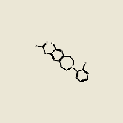 CCC(=O)Oc1cc2c(cc1Cl)CCN(c1ccccc1C)CC2